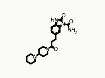 NC(=O)n1c(=O)[nH]c2ccc(C[CH]C(=O)N3CCC(N4CCCCC4)CC3)cc21